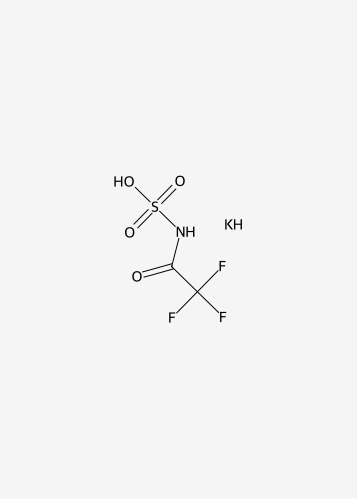 O=C(NS(=O)(=O)O)C(F)(F)F.[KH]